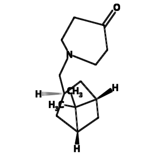 CC1(C)[C@@H]2C[C@H](CN3CCC(=O)CC3)C[C@H]1C2